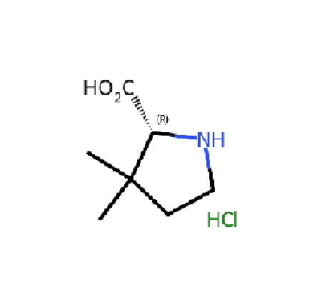 CC1(C)CCN[C@H]1C(=O)O.Cl